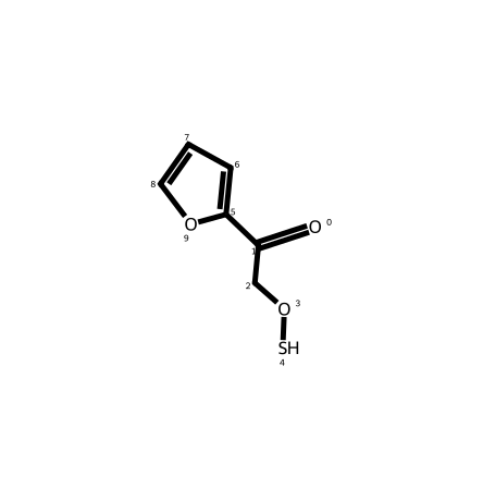 O=C(COS)c1ccco1